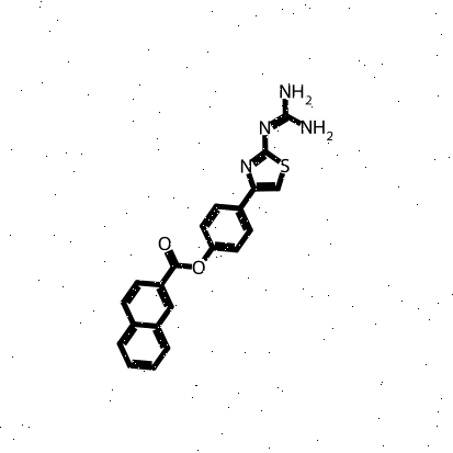 NC(N)=Nc1nc(-c2ccc(OC(=O)c3ccc4ccccc4c3)cc2)cs1